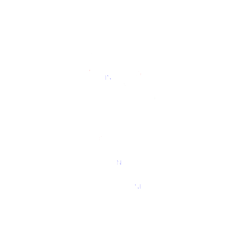 CNc1cccc(Oc2ccc(Cl)c(C(=O)NCC3(O)CCCCC3)c2)n1